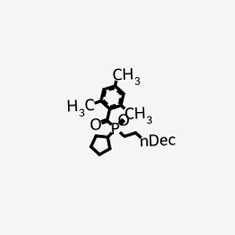 CCCCCCCCCCCCP(=O)(C(=O)c1c(C)cc(C)cc1C)C1CCCC1